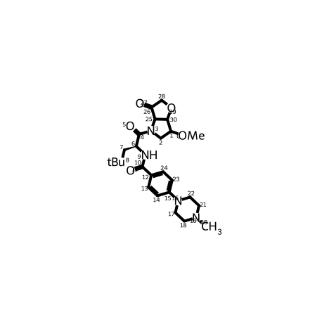 COC1CN(C(=O)[C@H](CC(C)(C)C)NC(=O)c2ccc(N3CCN(C)CC3)cc2)C2C(=O)COC12